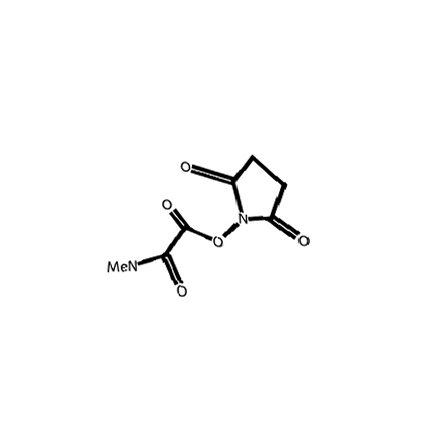 CNC(=O)C(=O)ON1C(=O)CCC1=O